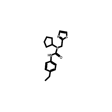 CCc1ccc(NC(=O)N(Cc2nccs2)C2CCCC2)cc1